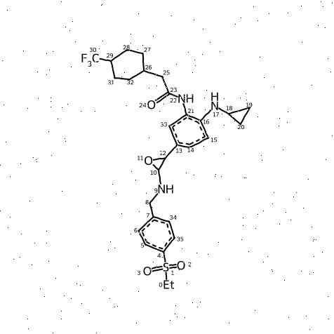 CCS(=O)(=O)c1ccc(CNC2OC2c2ccc(NC3CC3)c(NC(=O)CC3CCC(C(F)(F)F)CC3)c2)cc1